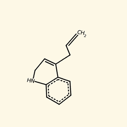 C=CCC1=CCNc2ccccc21